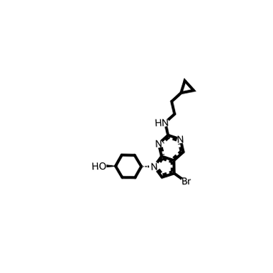 O[C@H]1CC[C@H](n2cc(Br)c3cnc(NCCC4CC4)nc32)CC1